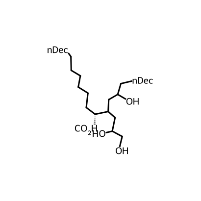 CCCCCCCCCCCCCCCC[C@@H](C(=O)O)C(CC(O)CO)CC(O)CCCCCCCCCCC